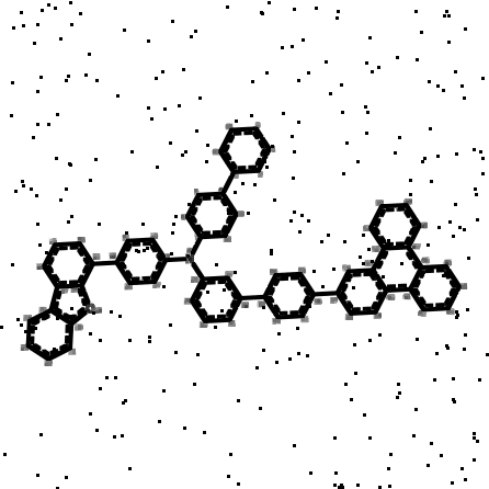 c1ccc(-c2ccc(N(c3ccc(-c4cccc5c4oc4ccccc45)cc3)c3cccc(-c4ccc(-c5ccc6c7ccccc7c7ccccc7c6c5)cc4)c3)cc2)cc1